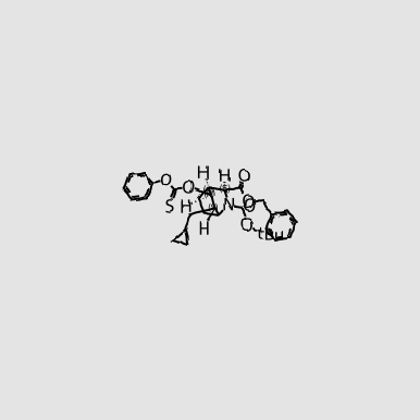 CC(C)(C)OC(=O)N1C2CC[C@H]([C@H](OC(=S)Oc3ccccc3)[C@H]2CC2CC2)[C@H]1C(=O)OCc1ccccc1